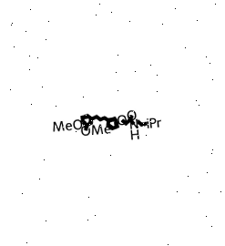 COc1ccc(CCCc2cccc(OCC(=O)NCCC(C)C)c2)cc1OC